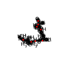 Cc1ncsc1-c1ccc([C@H](C)NC(=O)[C@@H]2C[C@@H](O)CN2C(=O)[C@@H](NC(=O)CCCCCCCC(=O)NCC2(C)CCC(c3ccc(Cl)cc3)=C(CN3CCN(c4ccc(C(=O)NS(=O)(=O)c5ccc(N[C@H](CCN6CCOCC6)CSc6ccccc6)c(S(=O)(=O)C(F)(F)F)c5)cc4)CC3)C2)C(C)(C)C)cc1